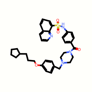 O=C(c1ccc(NS(=O)(=O)c2cccc3cccnc23)cc1)N1CCN(Cc2ccc(OCCCC3CCCC3)cc2)CC1